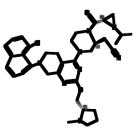 CC(C)N1C[C@H]1C(=O)N1CCN(c2nc(OC[C@@H]3CCCN3C)nc3c2CCN(c2cccc4cccc(Cl)c24)C3)C[C@@H]1CC#N